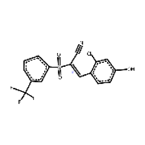 N#C/C(=C\c1ccc(O)cc1Cl)S(=O)(=O)c1cccc(C(F)(F)F)c1